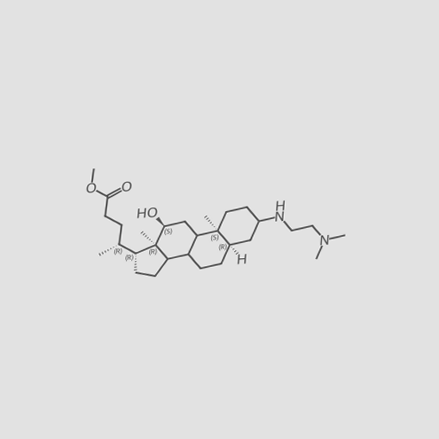 COC(=O)CC[C@@H](C)[C@H]1CCC2C3CC[C@@H]4CC(NCCN(C)C)CC[C@]4(C)C3C[C@H](O)[C@@]21C